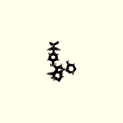 C[C@H]1CCOC[C@@H]1n1nc(Nc2ccc(S(=O)(=O)N(C)C)nc2)c2c(=O)[nH]ccc21